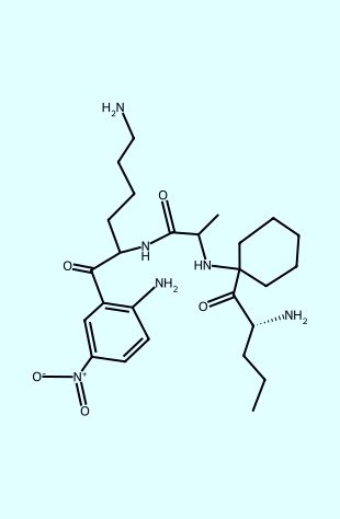 CCC[C@@H](N)C(=O)C1(NC(C)C(=O)NC(CCCCN)C(=O)c2cc([N+](=O)[O-])ccc2N)CCCCC1